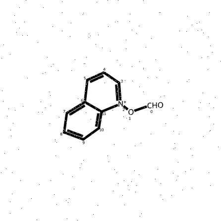 O=CO[n+]1cccc2ccccc21